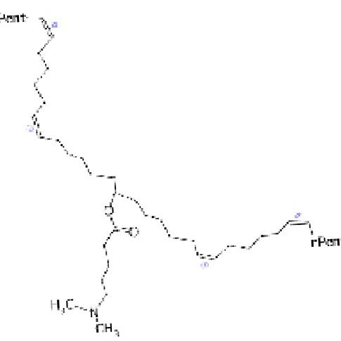 CCCCC/C=C\CCCC/C=C\CCCCCC(CCCCC/C=C\CCCC/C=C\CCCCC)OC(=O)CCCCN(C)C